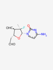 C[C@@]1(F)[C@H](C=O)[C@@H](CC=O)O[C@H]1n1ccc(N)nc1=O